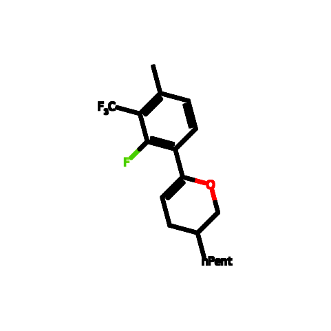 CCCCCC1CC=C(c2ccc(C)c(C(F)(F)F)c2F)OC1